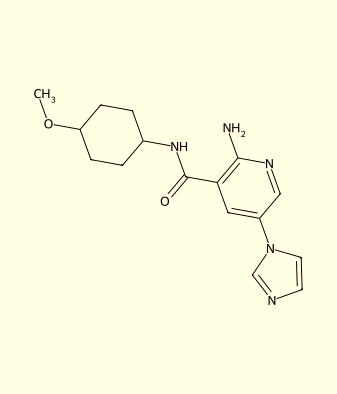 COC1CCC(NC(=O)c2cc(-n3ccnc3)cnc2N)CC1